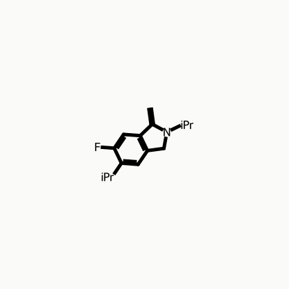 C=C1c2cc(F)c(C(C)C)cc2CN1C(C)C